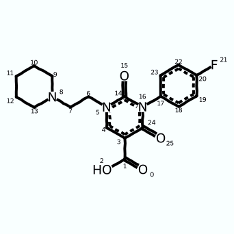 O=C(O)c1cn(CCN2CCCCC2)c(=O)n(-c2ccc(F)cc2)c1=O